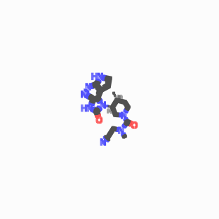 C[C@@H]1CCN(C(=O)N(C)CC#N)C[C@@H]1n1c(=O)[nH]c2nnc3[nH]ccc3c21